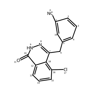 N#Cc1cccc(Cc2n[nH]c(=O)c3cccc(Cl)c23)c1